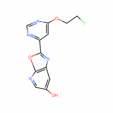 Oc1cnc2oc(-c3cc(OCCF)ncn3)nc2c1